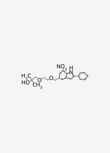 CC(C)(O)COCCOCc1cc([N+](=O)[O-])c2[nH]c(-c3ccccc3)cc2c1